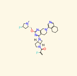 C=C(F)C(=O)N1CC[C@@H]2[C@H]1CN2c1nc(OC[C@@H]2C[C@@H](F)CN2C)nc2c1CCN(c1cncc3c1CCCC3)C2